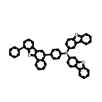 c1ccc(-c2cccc3c2oc2c4ccccc4c(-c4ccc(N(c5ccc6c(c5)oc5ccccc56)c5ccc6oc7ccccc7c6c5)cc4)cc32)cc1